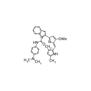 COC1=CC(c2cc3ccccc3n2C(=O)Nc2ccc(N(C)C)cc2)=N/C1=C\c1[nH]c(C)cc1C